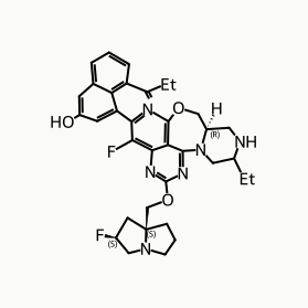 C=C(CC)c1cccc2cc(O)cc(-c3nc4c5c(nc(OC[C@@]67CCCN6C[C@@H](F)C7)nc5c3F)N3CC(CC)NC[C@@H]3CO4)c12